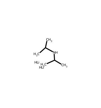 CC(C)NC(C)C.[LiH].[LiH]